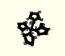 c1cn[n]([Pb]([n]2cccn2)([n]2cccn2)[n]2cccn2)c1